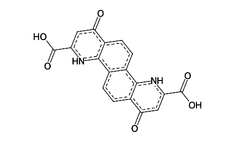 O=C(O)c1cc(=O)c2ccc3c(ccc4c(=O)cc(C(=O)O)[nH]c43)c2[nH]1